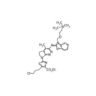 CCOC(=O)c1nc(N2CCc3c2nnc(/N=c2\sc4ccccc4n2COCC[Si](C)(C)C)c3C)sc1CCCCl